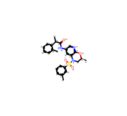 Cc1cccc(S(=O)(=O)N2C[C@H](C)Oc3ncc(NC(=O)C(C)c4ccccc4C)cc32)c1